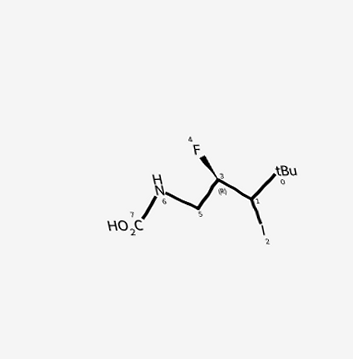 CC(C)(C)C(I)[C@H](F)CNC(=O)O